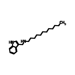 CCCCCCCCCCCCNCc1c[nH]c2ccccc12